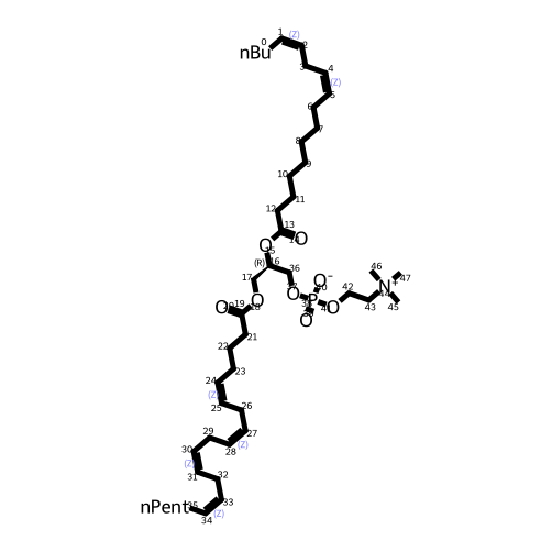 CCCC/C=C\C/C=C\CCCCCCCC(=O)O[C@H](COC(=O)CCC/C=C\C/C=C\C/C=C\C/C=C\CCCCC)COP(=O)([O-])OCC[N+](C)(C)C